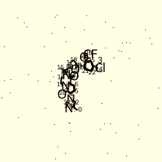 Cc1cn(-c2ccc3n(c2=O)CCN([C@@H](C)[C@@H]2CC[C@H](c4ccc(Cl)cc4OC(F)(F)F)O2)C3=O)cn1